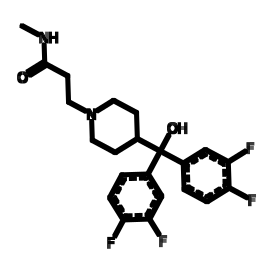 CNC(=O)CCN1CCC(C(O)(c2ccc(F)c(F)c2)c2ccc(F)c(F)c2)CC1